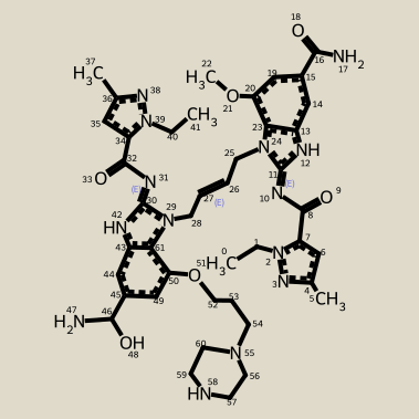 CCn1nc(C)cc1C(=O)/N=c1\[nH]c2cc(C(N)=O)cc(OC)c2n1C/C=C/Cn1/c(=N/C(=O)c2cc(C)nn2CC)[nH]c2cc(C(N)O)cc(OCCCN3CCNCC3)c21